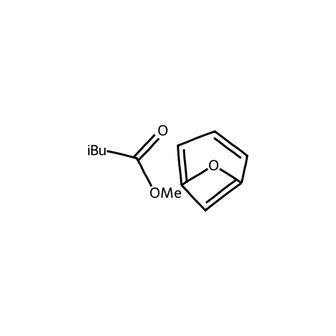 CCC(C)C(=O)OC.c1cc2cc(c1)O2